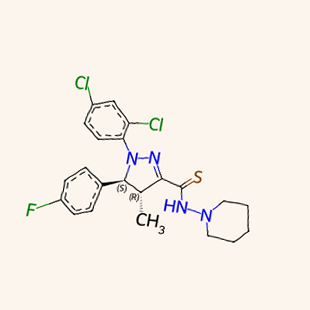 C[C@H]1C(C(=S)NN2CCCCC2)=NN(c2ccc(Cl)cc2Cl)[C@@H]1c1ccc(F)cc1